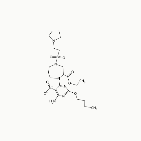 CCCCOc1nc(N)c([N+](=O)[O-])c(N2CCCN(S(=O)(=O)CCN3CCCC3)CC2C(=O)OCC)n1